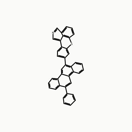 c1ccc(-c2cc3c4ccccc4c(-c4ccc5c(c4)Sc4cccc6cncc-5c46)cc3c3ccccc23)cc1